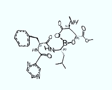 CN[C@@H]1C(=O)OB([C@H](CC(C)C)NC(=O)[C@H](Cc2ccccc2)NC(=O)c2cnccn2)O[C@H]1C(=O)OC